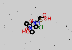 O=C(O)c1ccc(CCNC(=O)[C@@H]2c3ccccc3C(=O)N([C@H]3CCCC[C@@H]3O)[C@H]2c2ccc(Cl)cc2)s1